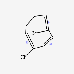 ClC1=C/CC/C=C(Br)/C=C\1